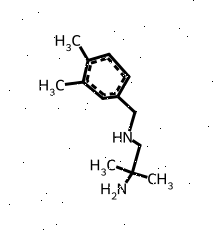 Cc1ccc(CNCC(C)(C)N)cc1C